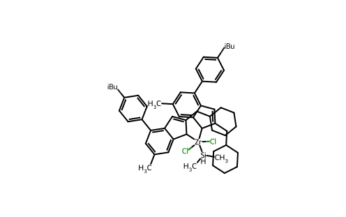 CCC(C)c1ccc(-c2cc(C)cc3c2C=C(CC2CCCCC2)[CH]3[Zr]([Cl])([Cl])([CH]2C(CC3CCCCC3)=Cc3c(-c4ccc(C(C)CC)cc4)cc(C)cc32)[SiH](C)C)cc1